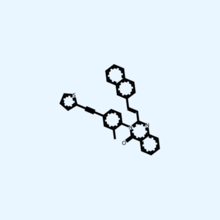 Cc1cc(C#Cc2cccs2)ccc1-n1c(/C=C/c2ccc3ccccc3c2)nc2ccccc2c1=O